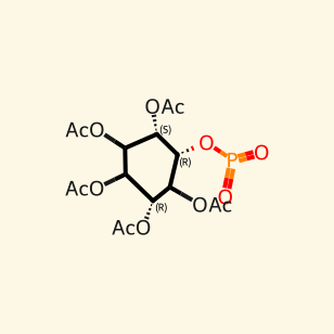 CC(=O)OC1C(OC(C)=O)[C@H](OC(C)=O)[C@H](OP(=O)=O)C(OC(C)=O)[C@@H]1OC(C)=O